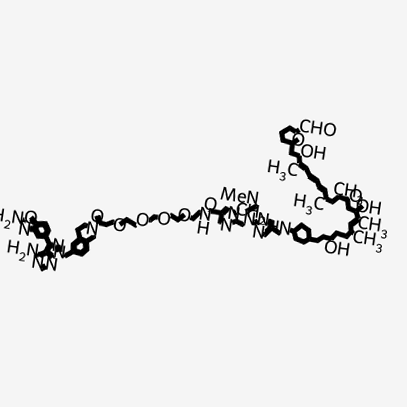 C=N/C=C(\C=N/CCN(CCNC)c1ncc(CNC2CCC(CCC(O)CCC(C)/C=C(\C)C(O)CC(=O)C(C)CC(C)/C=C/C=C/C=C(\C)C(O)CC3CCCC(C=O)O3)CC2)cn1)C(=O)NCCOCCOCCOCCOCCC(=O)N1CCc2cc(Cn3nc(-c4ccc5oc(N)nc5c4)c4c(N)ncnc43)ccc2C1